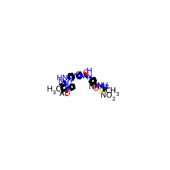 CC(=O)Nc1cc(NCC(=O)N2CCN(c3ccc(Nc4ncc5c(C)c(C(C)=O)c(=O)n(C6CCCC6)c5n4)nc3)CC2)ccc1C(=O)Nc1nc(C)c([N+](=O)[O-])s1